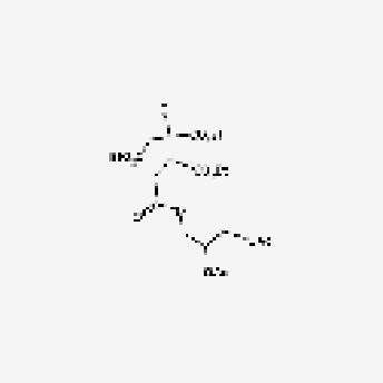 CCOC(=O)CC(O)(C(=O)OCC)C(CC(=O)OCC(COC(C)=O)OC(C)=O)C(=O)OCC